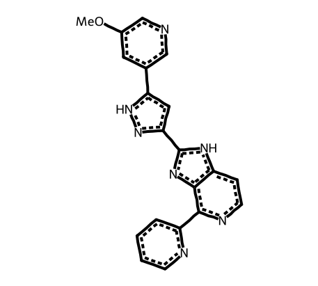 COc1cncc(-c2cc(-c3nc4c(-c5ccccn5)nccc4[nH]3)n[nH]2)c1